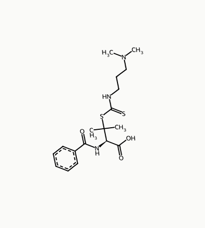 CN(C)CCCNC(=S)SC(C)(C)[C@H](NC(=O)c1ccccc1)C(=O)O